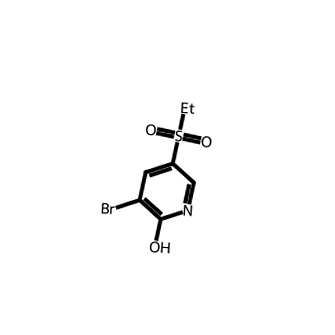 CCS(=O)(=O)c1cnc(O)c(Br)c1